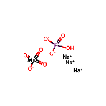 O=P([O-])([O-])O.[Na+].[Na+].[Na+].[O]=[Mn](=[O])(=[O])[O-]